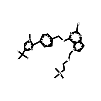 Cn1cc(C(F)(F)F)nc1-c1ccc(COc2nc(Cl)nc3ccn(COCC[Si](C)(C)C)c23)cc1